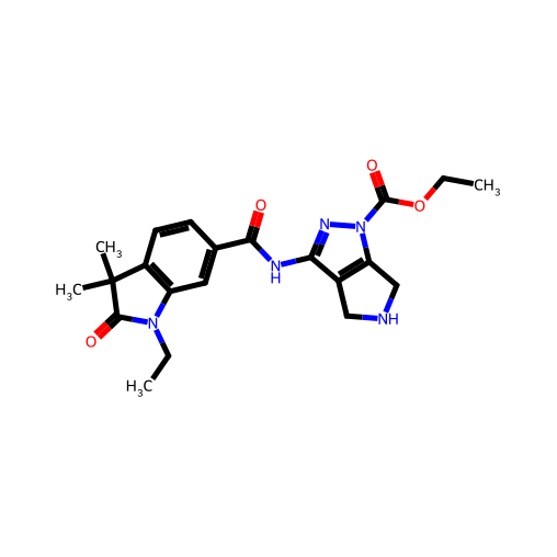 CCOC(=O)n1nc(NC(=O)c2ccc3c(c2)N(CC)C(=O)C3(C)C)c2c1CNC2